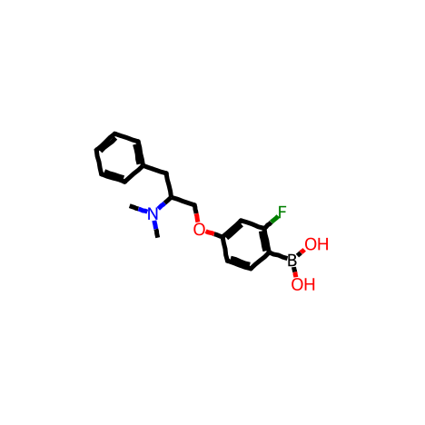 CN(C)C(COc1ccc(B(O)O)c(F)c1)Cc1ccccc1